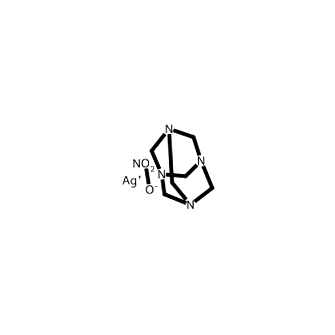 C1N2CN3CN1CN(C2)C3.O=[N+]([O-])[O-].[Ag+]